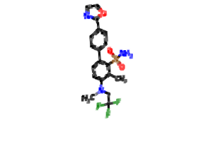 Cc1c(N(C)CC(F)(F)F)ccc(-c2ccc(-c3ncco3)cc2)c1S(N)(=O)=O